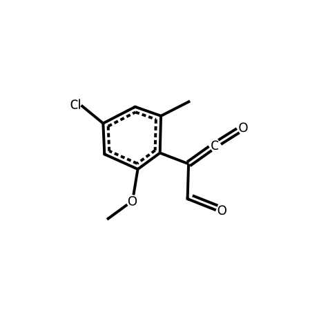 COc1cc(Cl)cc(C)c1C(=C=O)C=O